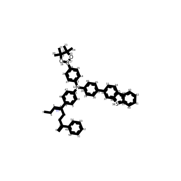 C=C(CC/C(=C\CC)c1ccc(N(c2ccc(B3OC(C)(C)C(C)(C)O3)cc2)c2ccc(-c3ccc4c(c3)sc3ccccc34)cc2)cc1)c1ccccc1